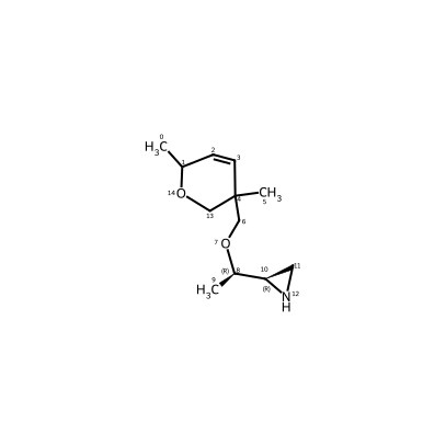 CC1C=CC(C)(CO[C@H](C)[C@H]2CN2)CO1